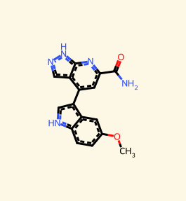 COc1ccc2[nH]cc(-c3cc(C(N)=O)nc4[nH]ncc34)c2c1